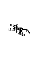 C#CCOCC#CC1=CC(NC(=O)OC(C)(C)C)C(C(=O)C[C@H](NC(=O)OC(C)(C)C)C(=O)OC(C)(C)C)C=C1